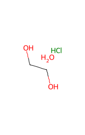 Cl.O.OCCO